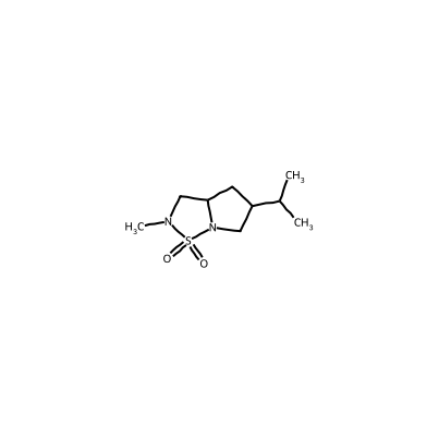 CC(C)C1CC2CN(C)S(=O)(=O)N2C1